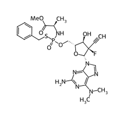 C#C[C@@]1(F)[C@H](O)[C@@H](COP(=O)(N[C@H](C)C(=O)OC)SCc2ccccc2)O[C@H]1n1cnc2c(N(C)C)nc(N)nc21